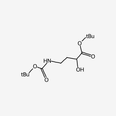 CC(C)(C)OC(=O)NCCC(O)C(=O)OC(C)(C)C